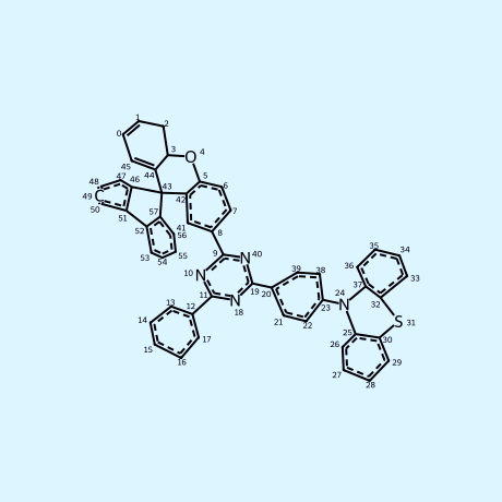 C1=CCC2Oc3ccc(-c4nc(-c5ccccc5)nc(-c5ccc(N6c7ccccc7Sc7ccccc76)cc5)n4)cc3C3(C2=C1)c1ccccc1-c1ccccc13